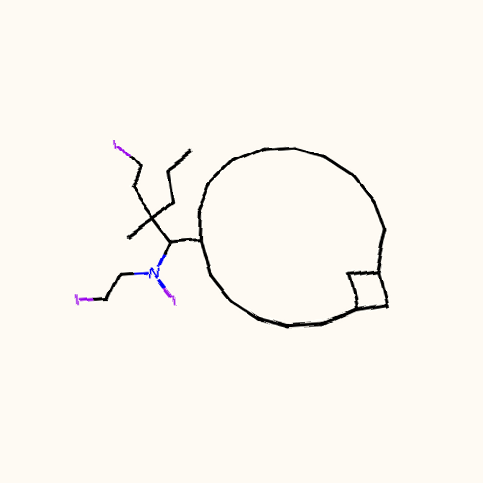 CCCC(C)(CCI)C(C1CCCCCCCCCC2CC(CCCCC1)C2)N(I)CCI